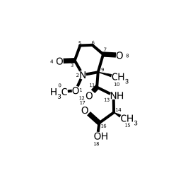 CON1C(=O)CCC(=O)[C@]1(C)C(=O)N[C@@H](C)C(=O)O